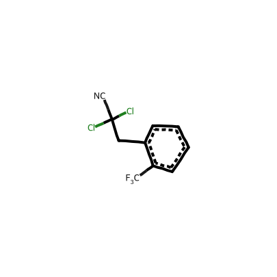 N#CC(Cl)(Cl)Cc1ccccc1C(F)(F)F